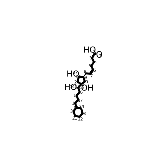 O=C(O)CCC/C=C\C[C@H]1C[C@](O)([C@H](O)CCCCC2CCCCC2)C[C@H]1O